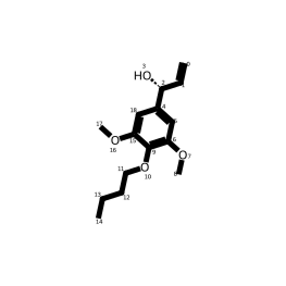 C=C[C@@H](O)c1cc(OC)c(OCCCC)c(OC)c1